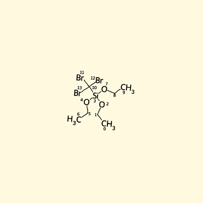 CCO[Si](OCC)(OCC)C(Br)(Br)Br